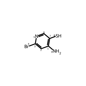 Nc1cc(Br)ncc1S